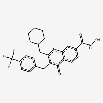 O=C(NO)c1ccc2c(=O)n(Cc3ccc(C(F)(F)F)cc3)c(CC3CCCCC3)nc2c1